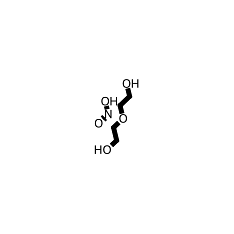 O=NO.OCCOCCO